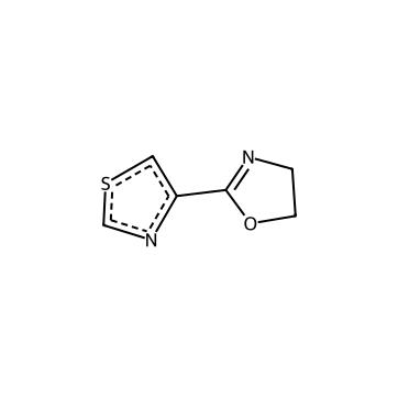 c1nc(C2=NCCO2)cs1